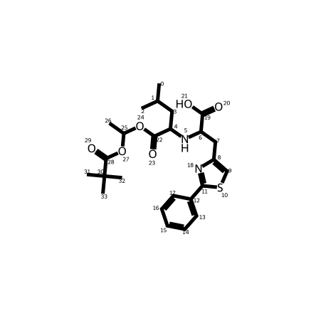 CC(C)CC(NC(Cc1csc(-c2ccccc2)n1)C(=O)O)C(=O)OC(C)OC(=O)C(C)(C)C